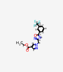 CCOC(=O)c1cnn(Cc2noc(-c3cccc(C(F)(F)F)c3)n2)c1